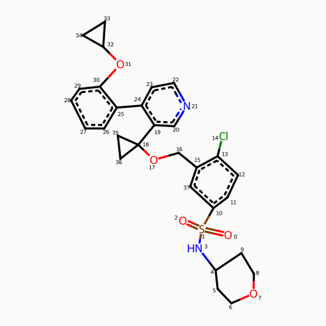 O=S(=O)(NC1CCOCC1)c1ccc(Cl)c(COC2(c3cnccc3-c3ccccc3OC3CC3)CC2)c1